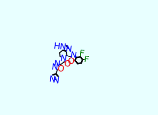 Cn1cc(-c2nnc(C(=O)N3CCc4[nH]cnc4[C@H]3c3nc4c(F)c(F)ccc4o3)o2)cn1